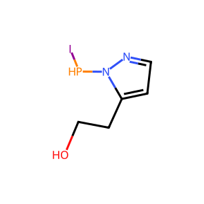 OCCc1ccnn1PI